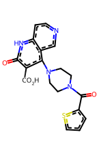 O=C(O)c1c(N2CCN(C(=O)c3cccs3)CC2)c2cnccc2[nH]c1=O